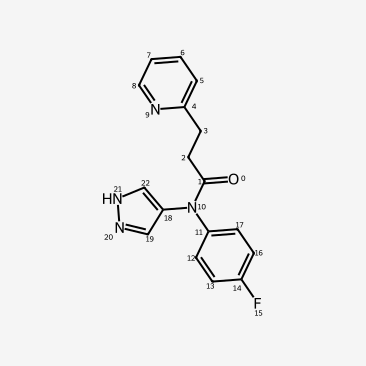 O=C(CCc1ccccn1)N(c1ccc(F)cc1)c1cn[nH]c1